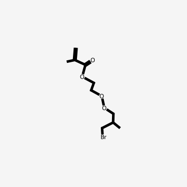 C=C(C)C(=O)OCCOOCC(C)CBr